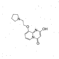 O=c1cc(O)nc2c(OCCN3CCCC3)cccn12